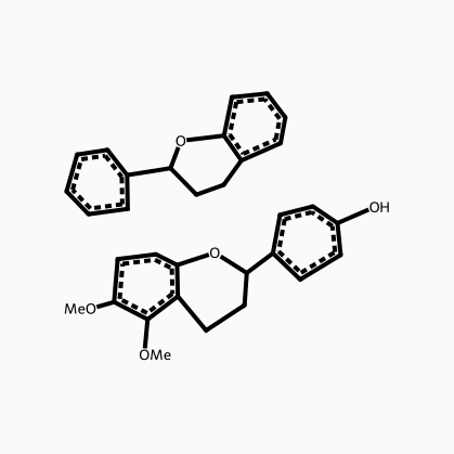 COc1ccc2c(c1OC)CCC(c1ccc(O)cc1)O2.c1ccc(C2CCc3ccccc3O2)cc1